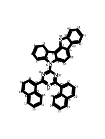 C1=CCC2C(=C1)N(c1nc(-c3cccc4ccccc34)nc(-c3cccc4ccccc34)n1)c1ccc3c(sc4ccccc43)c12